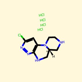 Cl.Cl.Cl.Cl.Clc1cc2c(nn1)NC[C@H]1CNCCN21